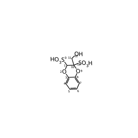 O=S(=O)(O)C1Oc2ccccc2OC1(CO)S(=O)(=O)O